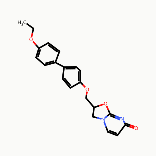 CCOc1ccc(-c2ccc(OCC3Cn4ccc(=O)nc4O3)cc2)cc1